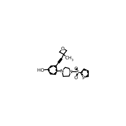 CC1(C#Cc2cc(O)ccc2N2CCN(S(=O)(=O)c3cccs3)CC2)COC1